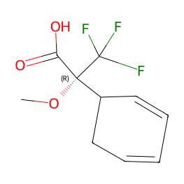 CO[C@@](C(=O)O)(C1C=CC=CC1)C(F)(F)F